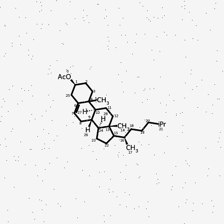 CC(=O)O[C@H]1CCC2(C)C(=CC[C@@H]3[C@@H]2CC[C@]2(C)C([C@H](C)CCCC(C)C)CC[C@@H]32)C1